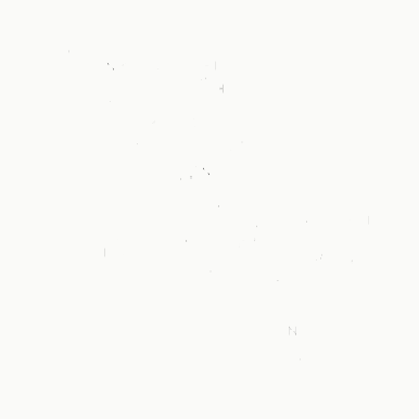 O=NCC(CO)(CO)COCC(CO)(CN=O)COCC(CO)(CO)CN=O